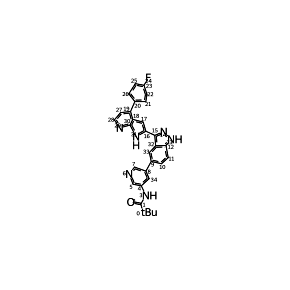 CC(C)(C)C(=O)Nc1cncc(-c2ccc3[nH]nc(-c4cc5c(-c6ccc(F)cc6)ccnc5[nH]4)c3c2)c1